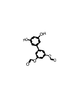 O=COc1cc(OC=O)cc(-c2cc(O)cc(O)c2)c1